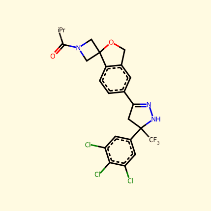 CC(C)C(=O)N1CC2(C1)OCc1cc(C3=NNC(c4cc(Cl)c(Cl)c(Cl)c4)(C(F)(F)F)C3)ccc12